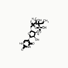 CCC(F)(C[C@H]1O[C@@H](c2c[nH]c(=O)[nH]c2=O)[C@H](O)[C@@H]1O)OP(=O)(O)C(C)(O)CC